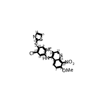 COc1ccc2c(Nc3ccc(Sc4nccs4)c(Cl)c3)c(C#N)cnc2c1[N+](=O)[O-]